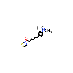 CN(C)c1ccc(CCCCCC(=O)N2CCSC2)cc1